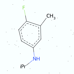 Cc1cc(NC(C)C)ccc1F